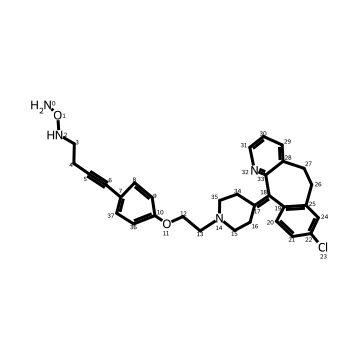 NONCCC#Cc1ccc(OCCN2CCC(=C3c4ccc(Cl)cc4CCc4cccnc43)CC2)cc1